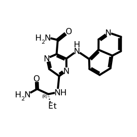 CC[C@@H](Nc1cnc(C(N)=O)c(Nc2cccc3ccncc23)n1)C(N)=O